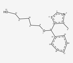 Cc1ncsc1C(OCCCCCO)c1ccccc1